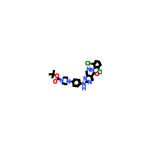 CC(C)(C)OC(=O)N1CCN(c2ccc(Nc3ncc4c(=O)n(-c5c(Cl)cccc5Cl)ncc4n3)cc2)CC1